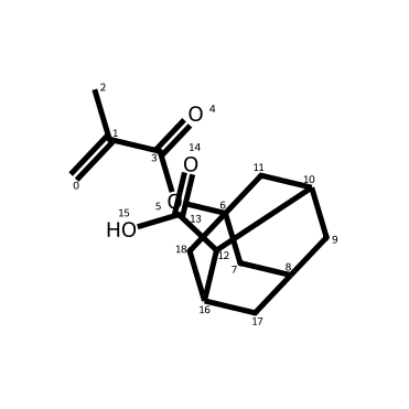 C=C(C)C(=O)OC12CC3CC(C1)C(C(=O)O)C(C3)C2